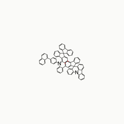 c1ccc(N(c2ccc(-c3cccc4ccccc34)cc2)c2cccc3c2-c2ccccc2C32c3ccccc3-c3ccccc32)c(-c2ccc3c(c2)C2(c4ccccc4-3)c3ccccc3-n3c4ccccc4c4cccc2c43)c1